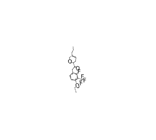 CCCC1=CCC(C(=O)Cc2ccc(OCC)c(C(F)(F)F)c2F)OC1